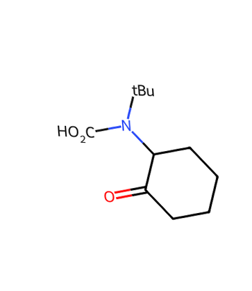 CC(C)(C)N(C(=O)O)C1CCCCC1=O